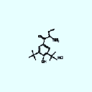 CCC(N)C(=O)c1cc(C(C)(C)C)c(O)c(C(C)(C)C)c1.Cl